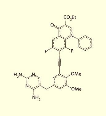 CCOC(=O)c1cn(-c2ccccc2)c2c(F)c(C#Cc3cc(Cc4cnc(N)nc4N)cc(OC)c3OC)c(F)cc2c1=O